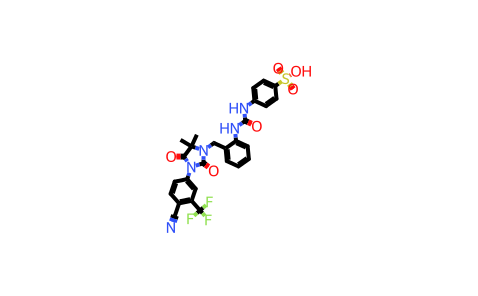 CC1(C)C(=O)N(c2ccc(C#N)c(C(F)(F)F)c2)C(=O)N1Cc1ccccc1NC(=O)Nc1ccc(S(=O)(=O)O)cc1